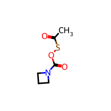 CC(=O)SOC(=O)N1CCC1